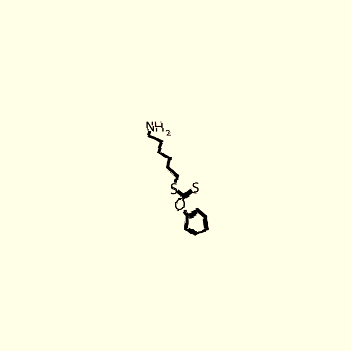 NCCCCCCSC(=S)Oc1ccccc1